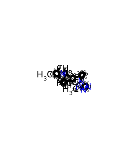 Cc1cc(C)c(-n2ccc3c2-c2ccccc2C2(C)CC=C(c4ccccc4N4c5cncnc5N(C)C4C)CC32)c(C)c1